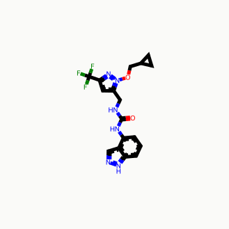 O=C(NCc1cc(C(F)(F)F)nn1OCC1CC1)Nc1cccc2[nH]ncc12